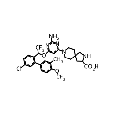 Cc1cc(-c2cc(Cl)ccc2C(Oc2cc(N3CCC4(CC3)CNC(C(=O)O)C4)nc(N)n2)C(F)(F)F)ccc1OC(F)(F)F